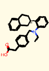 CCN(Cc1ccc(CC(=O)O)cc1)c1ccccc1[C@@H]1CCc2c[c]ccc2C1